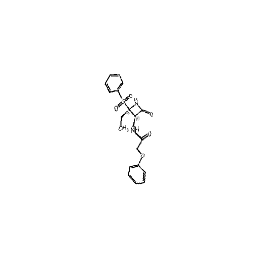 CC[C@@]1(S(=O)(=O)c2ccccc2)NC(=O)[C@H]1NC(=O)COc1ccccc1